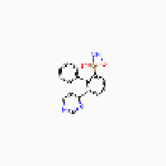 NS(=O)(=O)c1cccc(-c2ccncn2)c1-c1ccccc1